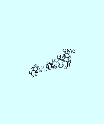 COc1ccc2nccc([C@@H](O)CC[C@@H]3CCN(CCSc4ccccc4C)C[C@@H]3C(=O)O)c2c1